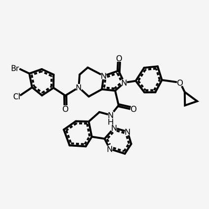 O=C(NCc1ccccc1-c1nccnn1)c1c2n(c(=O)n1-c1ccc(OC3CC3)cc1)CCN(C(=O)c1ccc(Br)c(Cl)c1)C2